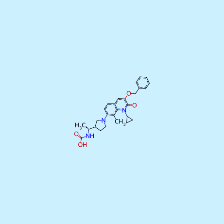 Cc1c(N2CCC([C@H](C)NC(=O)O)C2)ccc2cc(OCc3ccccc3)c(=O)n(C3CC3)c12